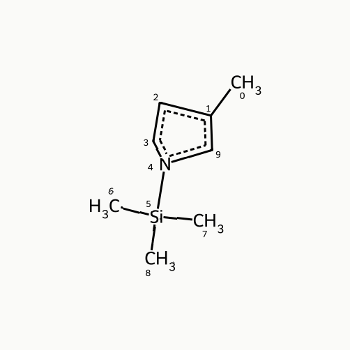 Cc1ccn([Si](C)(C)C)c1